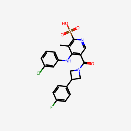 Cc1c(S(=O)(=O)O)ncc(C(=O)N2CC(c3ccc(F)cc3)C2)c1Nc1cccc(Cl)c1